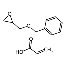 C=CC(=O)O.c1ccc(COCC2CO2)cc1